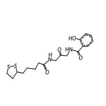 O=C(CNC(=O)CCCCC1CCSS1)CNC(=O)c1ccccc1O